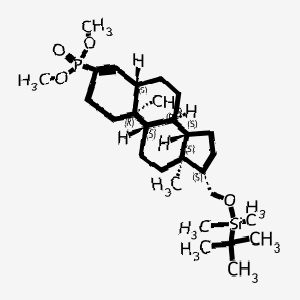 COP(=O)(OC)C1=C[C@@H]2CC[C@@H]3[C@H](CC[C@]4(C)[C@@H](CO[Si](C)(C)C(C)(C)C)CC[C@@H]34)[C@@]2(C)CC1